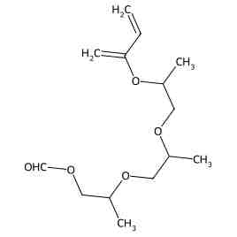 C=CC(=C)OC(C)COC(C)COC(C)COC=O